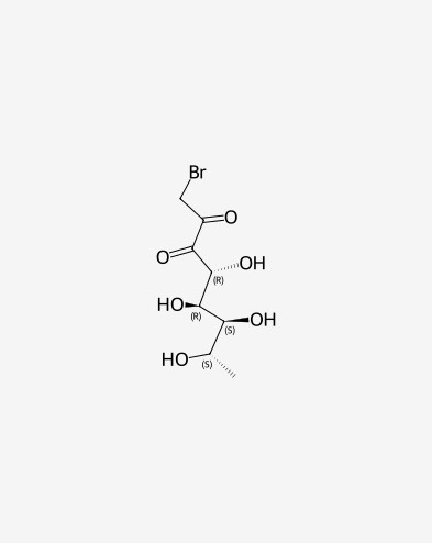 C[C@H](O)[C@H](O)[C@@H](O)[C@@H](O)C(=O)C(=O)CBr